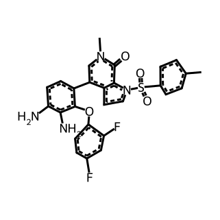 Cc1ccc(S(=O)(=O)n2ccc3c(-c4ccc(N)c(N)c4Oc4ccc(F)cc4F)cn(C)c(=O)c32)cc1